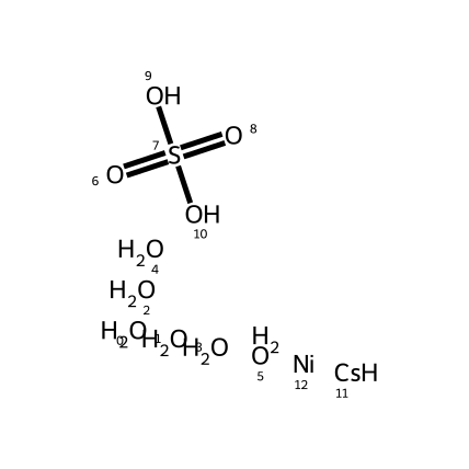 O.O.O.O.O.O.O=S(=O)(O)O.[CsH].[Ni]